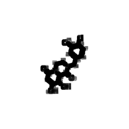 O=C1c2c(O)c(O)cc(=O)n2CCN1Cc1ccc(Cl)c(Cl)c1